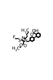 CCCCc1nc(SCCF)c(C(=O)OCC)n1Cc1ccc(-c2ccccc2C(=O)O)cc1